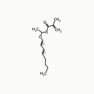 C=C(C)C(=O)OC(C)O/C=C/C=C/CCCC